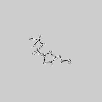 CC(C)(C)OC(=O)n1ccc(CC=O)c1